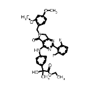 CCOC(=O)C(C)(O)c1ccc(Nc2nc(-c3c(F)cccc3F)nc3c2C(=O)N(Cc2ccc(OC)cc2OC)C3)cc1